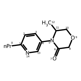 CCCc1ccc(N2C(=O)COCC2C)cn1